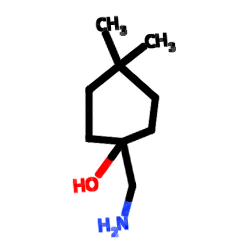 CC1(C)CCC(O)(CN)CC1